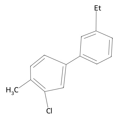 CCc1cccc(-c2ccc(C)c(Cl)c2)c1